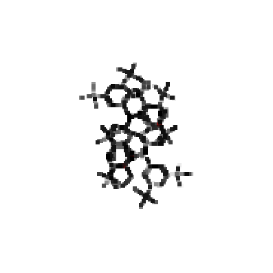 COC(=O)COc1c(Cl)ccc(P(c2cc(C(C)(C)C)cc(C(C)(C)C)c2)c2cc(C(C)(C)C)cc(C(C)(C)C)c2)c1-c1c(P(c2cc(C(C)(C)C)cc(C(C)(C)C)c2)c2cc(C(C)(C)C)cc(C(C)(C)C)c2)ccc(Cl)c1OC1CCCCC1